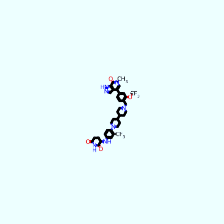 Cn1cc(-c2ccc(CN3CCC(C4CCN(c5ccc(NC6CCC(=O)NC6=O)cc5C(F)(F)F)CC4)CC3)c(OC(F)(F)F)c2)c2cn[nH]c2c1=O